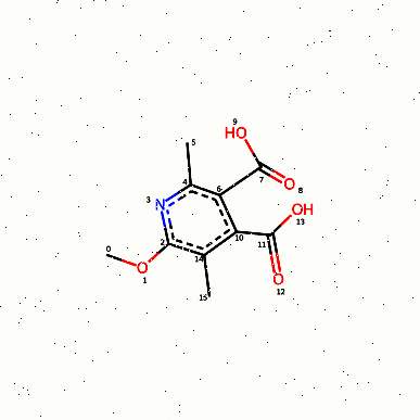 COc1nc(C)c(C(=O)O)c(C(=O)O)c1C